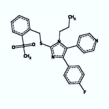 CCCn1c(SCc2ccccc2S(C)(=O)=O)nc(-c2ccc(F)cc2)c1-c1ccncc1